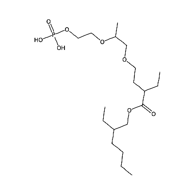 CCCCC(CC)COC(=O)C(CC)CCOCC(C)OCCOP(=O)(O)O